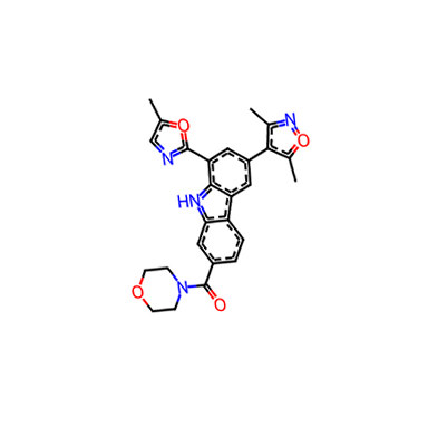 Cc1cnc(-c2cc(-c3c(C)noc3C)cc3c2[nH]c2cc(C(=O)N4CCOCC4)ccc23)o1